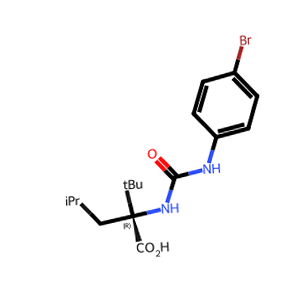 CC(C)C[C@](NC(=O)Nc1ccc(Br)cc1)(C(=O)O)C(C)(C)C